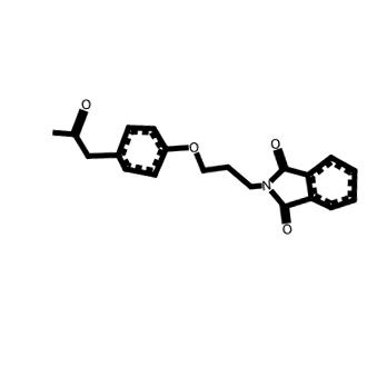 CC(=O)Cc1ccc(OCCCN2C(=O)c3ccccc3C2=O)cc1